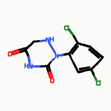 O=C1CNN(c2cc(Cl)ccc2Cl)C(=O)N1